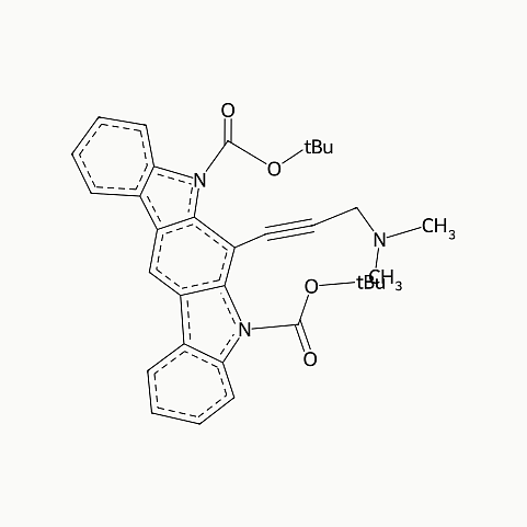 CN(C)CC#Cc1c2c(cc3c4ccccc4n(C(=O)OC(C)(C)C)c13)c1ccccc1n2C(=O)OC(C)(C)C